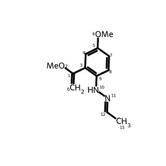 C=C(OC)c1cc(OC)ccc1N/N=C/C